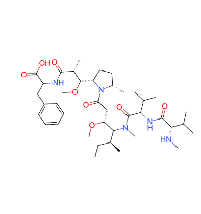 CC[C@H](C)C([C@@H](CC(=O)N1[C@@H](C)CC[C@H]1C(OC)[C@@H](C)C(=O)NC(Cc1ccccc1)C(=O)O)OC)N(C)C(=O)[C@@H](NC(=O)[C@@H](NC)C(C)C)C(C)C